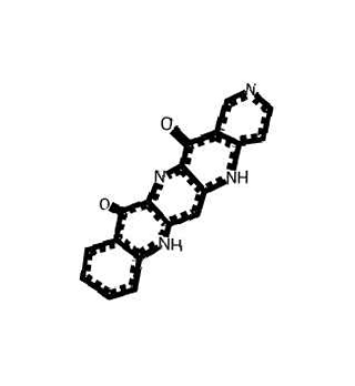 O=c1c2ccccc2[nH]c2cc3[nH]c4ccncc4c(=O)c3nc12